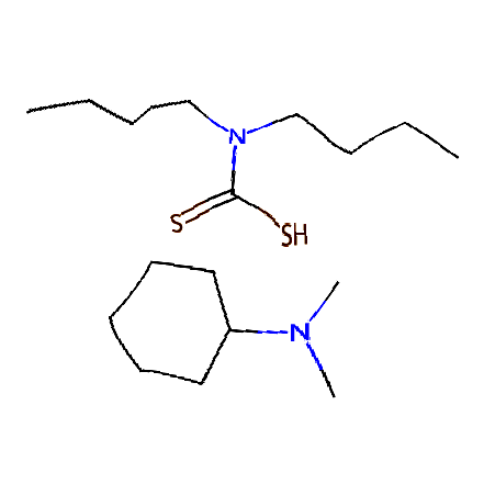 CCCCN(CCCC)C(=S)S.CN(C)C1CCCCC1